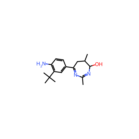 CC1=NC(O)C(C)CC(c2ccc(N)c(C(C)(C)C)c2)=N1